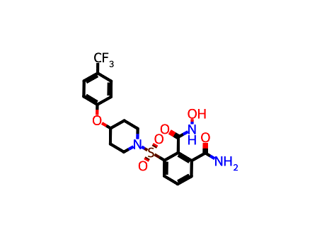 NC(=O)c1cccc(S(=O)(=O)N2CCC(Oc3ccc(C(F)(F)F)cc3)CC2)c1C(=O)NO